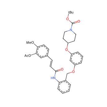 COc1ccc(C=CC(=O)Nc2ccccc2COc2cccc(OC3CCN(C(=O)OC(C)(C)C)CC3)c2)cc1OC(C)=O